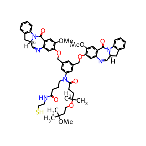 COc1cc2c(cc1OCc1cc(COc3cc4c(cc3OC)C(=O)N3c5ccccc5C[C@H]3C=N4)cc(N(CCCC(=O)NCCS)C(=O)CCC(C)(C)OCCC(C)(C)OC)c1)N=C[C@@H]1Cc3ccccc3N1C2=O